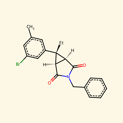 CC[C@]1(c2cc(C)cc(Br)c2)[C@@H]2C(=O)N(Cc3ccccc3)C(=O)[C@@H]21